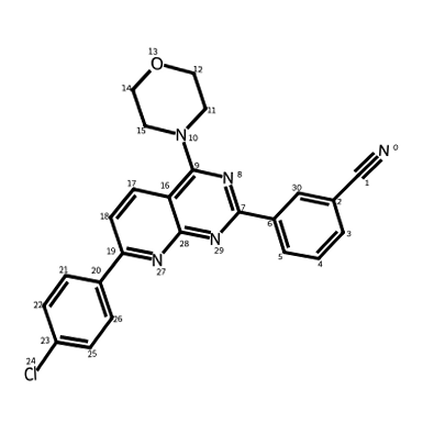 N#Cc1cccc(-c2nc(N3CCOCC3)c3ccc(-c4ccc(Cl)cc4)nc3n2)c1